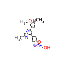 COc1ccc(-c2cc(-c3ccc(S(=O)(=O)NCCO)cc3)c3nc(C)cn3n2)cc1OC